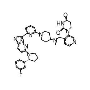 CN(Cc1ccncc1N1CCC(=O)NC1=O)C1CCN(c2cccc(-c3cnc4ccc(N5CCC[C@@H]5c5cccc(F)c5)nn34)n2)CC1